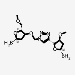 B[C@H]1CC(OC)[C@@H](c2cn(COC3C[C@H](B)O[C@@H]3COC)nn2)O1